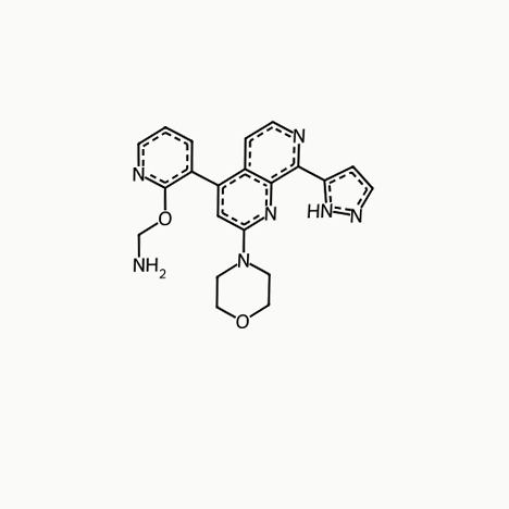 NCOc1ncccc1-c1cc(N2CCOCC2)nc2c(-c3ccn[nH]3)nccc12